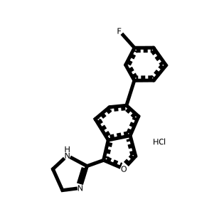 Cl.Fc1cccc(-c2ccc3c(C4=NCCN4)occ3c2)c1